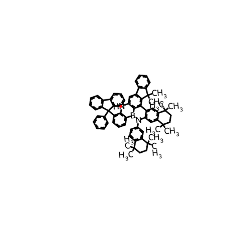 CC1(C)CCC(C)(C)c2cc(N3B4c5cccc(C6(c7ccccc7)c7ccccc7-c7ccccc76)c5Nc5cc6c(c(c54)-c4cc5c(cc43)C(C)(C)CCC5(C)C)C(C)(C)c3ccccc3-6)ccc21